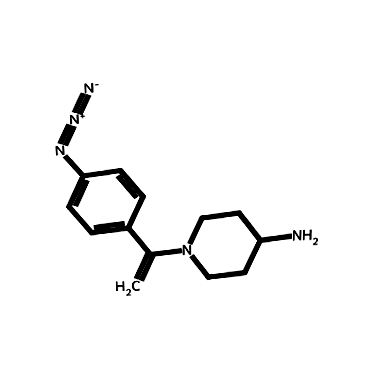 C=C(c1ccc(N=[N+]=[N-])cc1)N1CCC(N)CC1